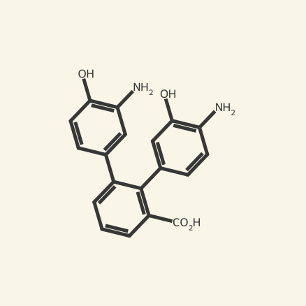 Nc1cc(-c2cccc(C(=O)O)c2-c2ccc(N)c(O)c2)ccc1O